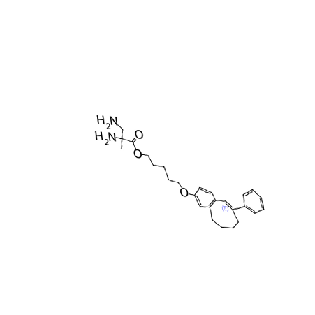 CC(N)(CN)C(=O)OCCCCCOc1ccc2c(c1)CCCC/C(c1ccccc1)=C\2